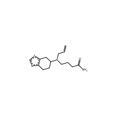 C=CCN(CCCC(N)=O)C1CCc2ncsc2C1